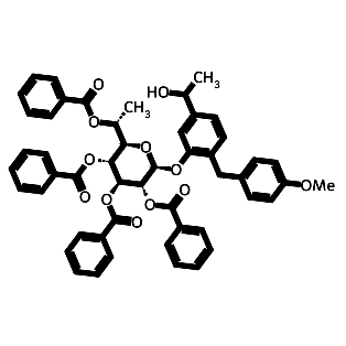 COc1ccc(Cc2ccc(C(C)O)cc2O[C@@H]2O[C@H]([C@@H](C)OC(=O)c3ccccc3)[C@@H](OC(=O)c3ccccc3)[C@H](OC(=O)c3ccccc3)[C@H]2OC(=O)c2ccccc2)cc1